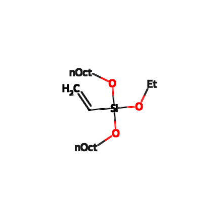 C=C[Si](OCC)(OCCCCCCCC)OCCCCCCCC